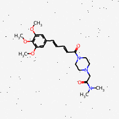 COc1cc(/C=C/C=C/C(=O)N2CCN(CC(=O)N(C)C)CC2)cc(OC)c1OC